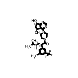 Cc1cc([C@@H](CNC(C)C)C(=O)N2CCN(c3ncnc4c3[C@H](C)C[C@@H]4O)CC2)cc(C(F)(F)F)c1